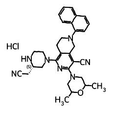 CC1CN(c2nc(N3CCN[C@@H](CC#N)C3)c3c(c2C#N)CN(c2cccc4ccccc24)CC3)CC(C)O1.Cl